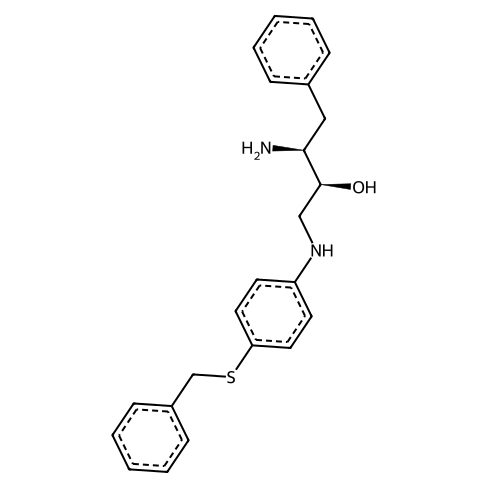 N[C@@H](Cc1ccccc1)[C@@H](O)CNc1ccc(SCc2ccccc2)cc1